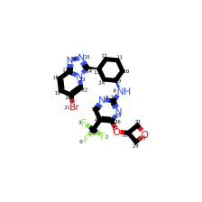 FC(F)(F)c1cnc(N[C@@H]2CCC[C@H](c3nnc4ccc(Br)cn34)C2)nc1OC1COC1